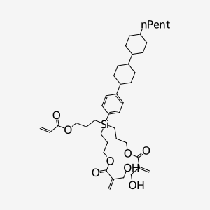 C=CC(=O)OCCC[Si](CCCOC(=O)C(=C)CO)(CCCOC(=O)C(=C)CO)c1ccc(C2CCC(C3CCC(CCCCC)CC3)CC2)cc1